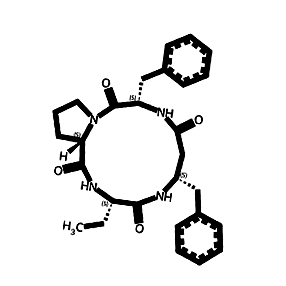 CC[C@@H]1NC(=O)[C@@H]2CCCN2C(=O)[C@H](Cc2ccccc2)NC(=O)C[C@H](Cc2ccccc2)NC1=O